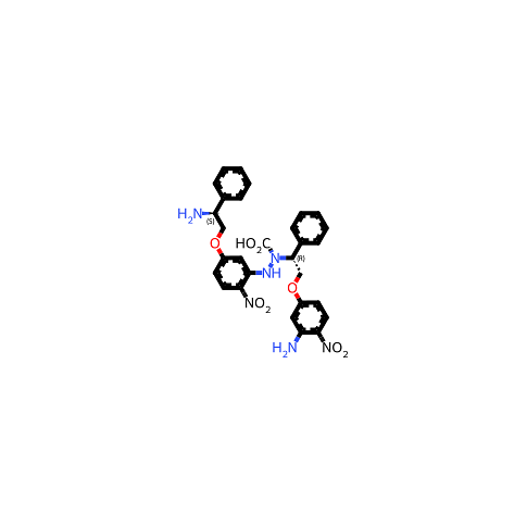 Nc1cc(OC[C@@H](c2ccccc2)N(Nc2cc(OC[C@@H](N)c3ccccc3)ccc2[N+](=O)[O-])C(=O)O)ccc1[N+](=O)[O-]